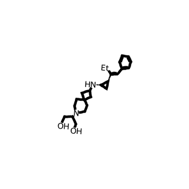 CC/C(=C\c1ccccc1)[C@H]1C[C@@H]1NC1CC2(CCN(C(CO)CO)CC2)C1